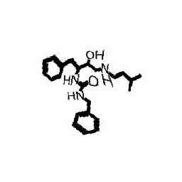 CC(C)CCNCC(O)C(Cc1ccccc1)NC(=O)NCc1ccccc1